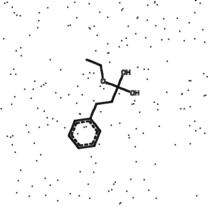 CCOC(O)(O)CCc1ccccc1